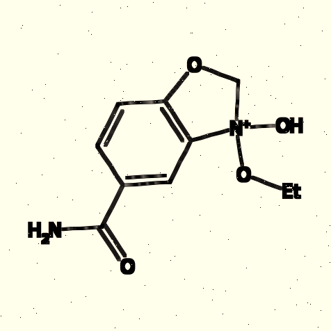 CCO[N+]1(O)COc2ccc(C(N)=O)cc21